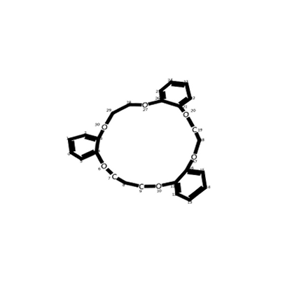 c1ccc2c(c1)OCCCOc1ccccc1OCCOc1ccccc1OCCO2